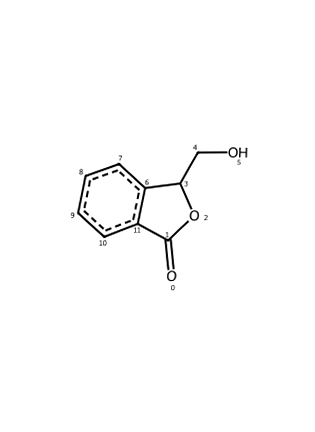 O=C1OC(CO)c2ccccc21